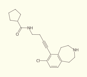 O=C(NCCC#Cc1c(Cl)ccc2c1CCNCC2)C1CCCC1